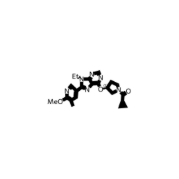 CCn1c(-c2cnc(OC)c(C)c2)nc2c(O[C@H]3CCN(C(=O)C4CC4)C3)ncnc21